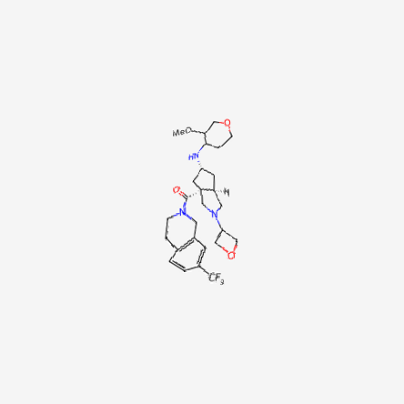 COC1COCCC1N[C@@H]1C[C@H]2CN(C3COC3)C[C@@]2(C(=O)N2CCc3ccc(C(F)(F)F)cc3C2)C1